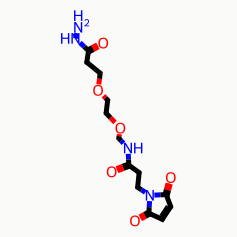 NNC(=O)CCOCCOCNC(=O)CCN1C(=O)C=CC1=O